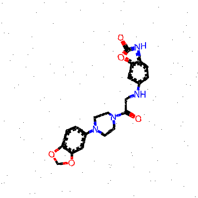 O=C(CNc1ccc2[nH]c(=O)oc2c1)N1CCN(c2ccc3c(c2)OCO3)CC1